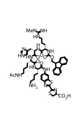 CNC(=N)NCCC[C@H](NC(=O)OCC1c2ccccc2-c2ccccc21)C(=O)N[C@@H](Cc1c[nH]cn1)C(=O)N[C@@H](CCCCNC(C)=O)C(=O)N[C@@H](CCCCN)C(=O)Nc1ccc2nc(C3=N[C@@H](C(=O)O)CS3)sc2c1